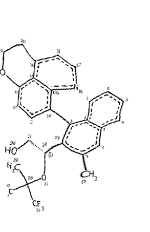 Cc1cc2ccccc2c(-c2ccc3c4c(ccnc24)CCO3)c1[C@@H](CO)OC(C)(C)C(F)(F)F